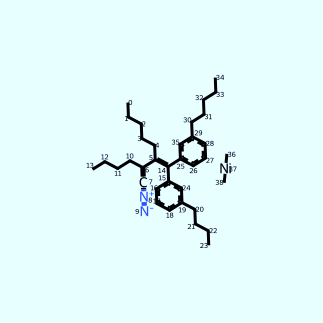 CCCCCC(C(=C=[N+]=[N-])CCCC)=C(c1cccc(CCCC)c1)c1cccc(CCCCC)c1.[CH3][Ni][CH3]